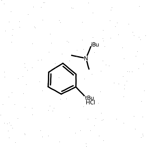 CC(C)(C)c1ccccc1.CCC(C)N(C)C.Cl